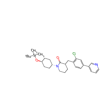 CC(C)(C)[Si](C)(C)O[C@H]1CC[C@H](N2CCCC(Cc3ccc(-c4cccnc4)cc3Cl)C2=O)CC1